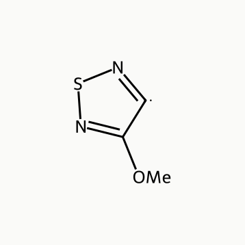 COc1[c]nsn1